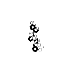 Cc1nnc([C@H]2CCCN2C(=O)N[C@H]2CCOc3cc(C(F)(F)F)ccc32)n1Cc1cccc(Cl)c1